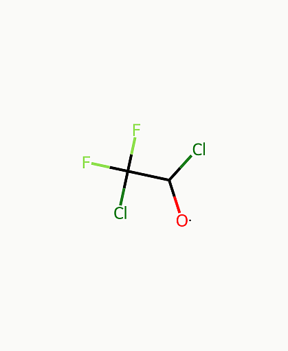 [O]C(Cl)C(F)(F)Cl